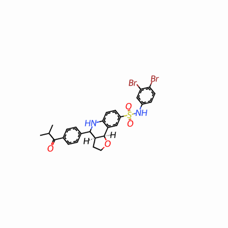 CC(C)C(=O)c1ccc(C2Nc3ccc(S(=O)(=O)Nc4ccc(Br)c(Br)c4)cc3[C@H]3OCC[C@@H]23)cc1